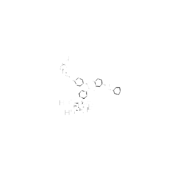 CC(C)[Si](Oc1ccc(C2Sc3cc(OCc4ccccc4)ccc3OC2c2ccc(OCCN3CC[C@@H](CF)C3)cc2)cc1)(C(C)C)C(C)C